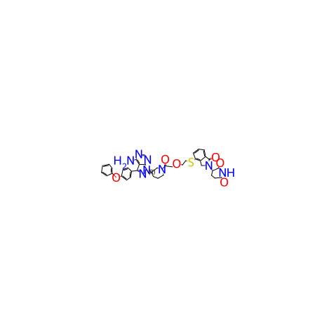 Nc1ncnc2c1c(-c1ccc(Oc3ccccc3)cc1)nn2[C@@H]1CCCN(C(=O)COCCSc2cccc3c2CN(C2CCC(=O)NC2=O)C3=O)C1